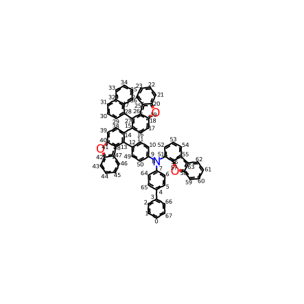 c1ccc(-c2ccc(N(c3ccc(-c4c(-c5ccc6oc7ccccc7c6c5-c5cccc6ccccc56)ccc5oc6ccccc6c45)cc3)c3cccc4c3oc3ccccc34)cc2)cc1